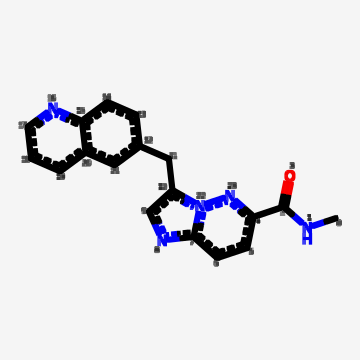 CNC(=O)c1ccc2ncc(Cc3ccc4ncccc4c3)n2n1